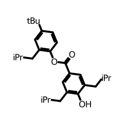 CC(C)Cc1cc(C(C)(C)C)ccc1OC(=O)c1cc(CC(C)C)c(O)c(CC(C)C)c1